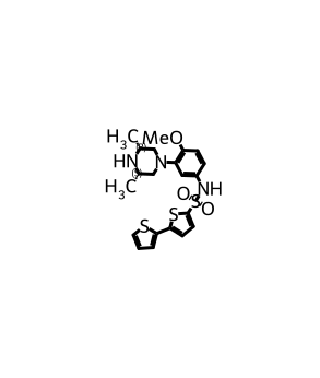 COc1ccc(NS(=O)(=O)c2ccc(-c3cccs3)s2)cc1N1C[C@@H](C)N[C@@H](C)C1